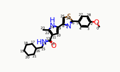 COc1ccc(-c2nc(-c3cc(C(=O)NCC4CCCCC4)c(C)[nH]3)cs2)cc1